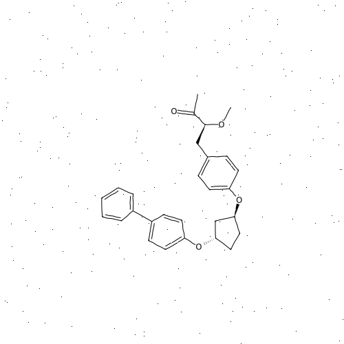 CO[C@@H](Cc1ccc(O[C@H]2CC[C@H](Oc3ccc(-c4ccccc4)cc3)C2)cc1)C(C)=O